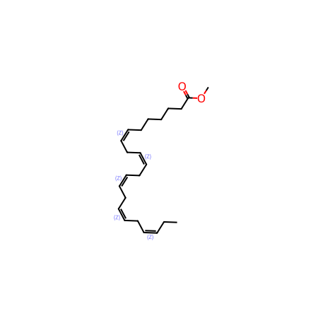 CC/C=C\C/C=C\C/C=C\C/C=C\C/C=C\CCCCCC(=O)OC